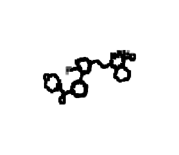 O=C(c1cccc(-c2cc(CCc3n[nH]c(=O)c4c3CCCC4)ccc2F)c1)N1CCOCC1